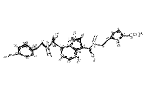 O=C(O)c1ccc(CNC(=O)c2c[nH]c3c(C(=O)NCc4ccc(F)cc4)ncnc23)s1